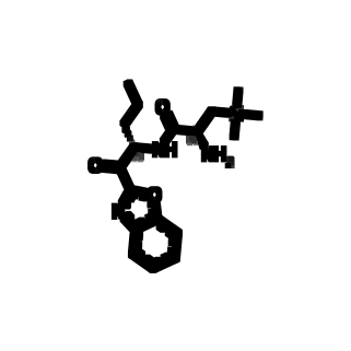 CCC[C@H](NC(=O)[C@H](N)C[Si](C)(C)C)C(=O)c1nc2ccccc2o1